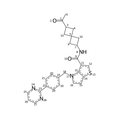 CC(=O)C1CC2(CC(NC(=O)c3csc4ccn(Cc5ccc(-c6ncccn6)cc5)c34)C2)C1